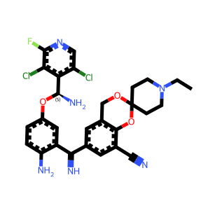 CCN1CCC2(CC1)OCc1cc(C(=N)c3cc(O[C@H](N)c4c(Cl)cnc(F)c4Cl)ccc3N)cc(C#N)c1O2